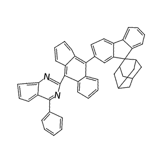 c1ccc(-c2nc(-c3c4ccccc4c(-c4ccc5c(c4)C4(c6ccccc6-5)C5CC6CC(C5)CC4C6)c4ccccc34)nc3ccccc23)cc1